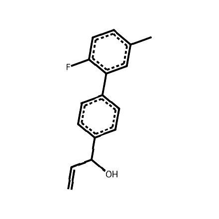 C=CC(O)c1ccc(-c2cc(C)ccc2F)cc1